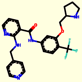 O=C(Nc1ccc(C(F)(F)F)c(OCC2CCCN2)c1)c1cccnc1NCc1ccncc1